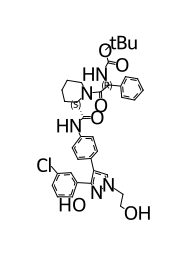 CC(C)(C)OC(=O)N[C@@H](C(=O)N1CCCC[C@H]1C(=O)Nc1ccc(-c2cn(CCO)nc2-c2cc(Cl)ccc2O)cc1)c1ccccc1